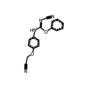 N#CCOc1ccc(N/C(=N/C#N)Oc2ccccc2)cc1